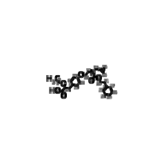 CCOC(Cc1ccc(OCCN(CC2CC2)C(=O)OCCc2ccccc2)cc1)C(=O)O